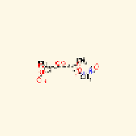 COc1cc(C=CC(=O)CC(=O)C=Cc2ccc(OC(=O)N(C)CCN3CCOCC3)c(OC)c2)ccc1OCCO